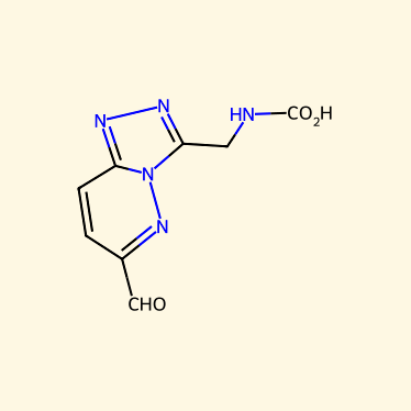 O=Cc1ccc2nnc(CNC(=O)O)n2n1